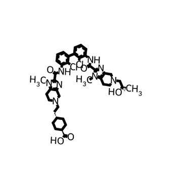 C[C@@H](O)CN1CCc2c(nc(C(=O)Nc3cccc(-c4cccc(NC(=O)c5nc6c(n5C)CCN(CC[C@H]5CC[C@H](C(=O)O)CC5)C6)c4Cl)c3Cl)n2C)C1